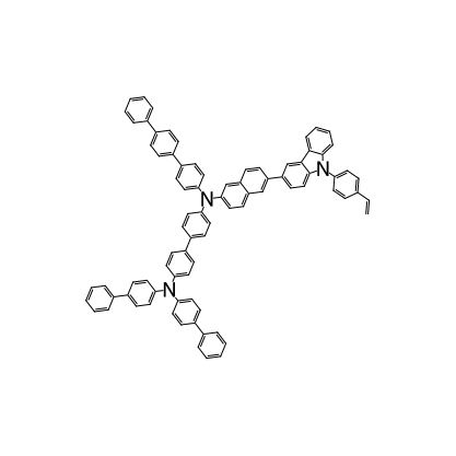 C=Cc1ccc(-n2c3ccccc3c3cc(-c4ccc5cc(N(c6ccc(-c7ccc(-c8ccccc8)cc7)cc6)c6ccc(-c7ccc(N(c8ccc(-c9ccccc9)cc8)c8ccc(-c9ccccc9)cc8)cc7)cc6)ccc5c4)ccc32)cc1